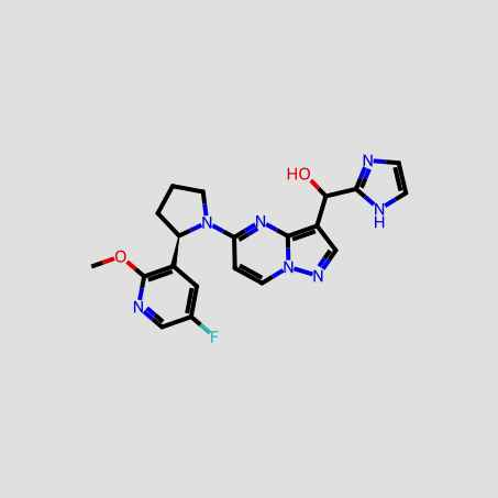 COc1ncc(F)cc1[C@H]1CCCN1c1ccn2ncc(C(O)c3ncc[nH]3)c2n1